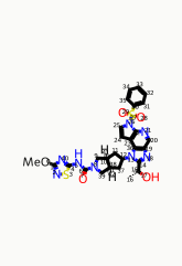 COc1nsc(NC(=O)N2C[C@H]3CC(n4c([C@@H](C)O)nc5cnc6c(ccn6S(=O)(=O)c6ccccc6)c54)C[C@H]3C2)n1